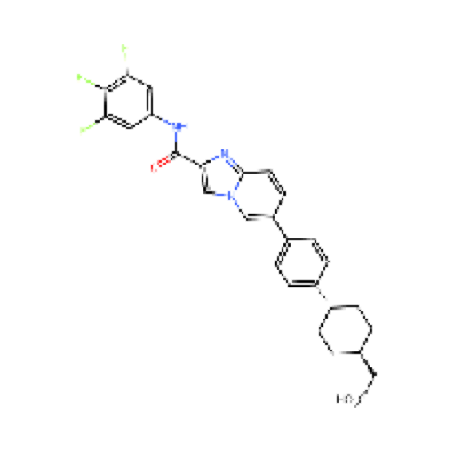 O=C(O)C[C@H]1CC[C@H](c2ccc(-c3ccc4nc(C(=O)Nc5cc(F)c(F)c(F)c5)cn4c3)cc2)CC1